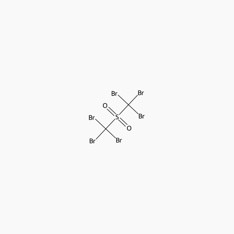 O=S(=O)(C(Br)(Br)Br)C(Br)(Br)Br